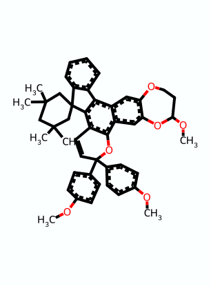 COc1ccc(C2(c3ccc(OC)cc3)C=Cc3c4c(c5cc6c(cc5c3O2)OC(OC)CCO6)-c2ccccc2C42CC(C)(C)CC(C)(C)C2)cc1